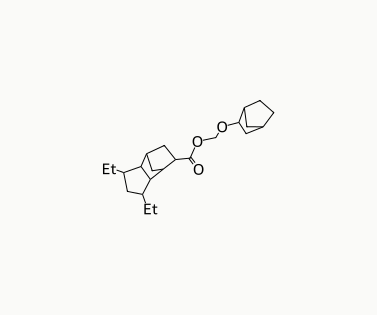 CCC1CC(CC)C2C3CC(CC3C(=O)OCOC3CC4CCC3C4)C12